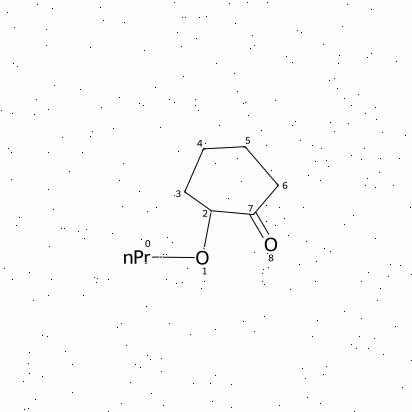 CCCOC1CCCCC1=O